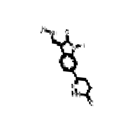 CCN1C(=O)C(=CNN)c2ccc(C3=NNC(=O)CC3)cc21